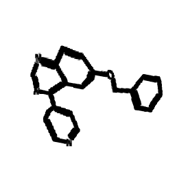 c1ccc(COc2ccc3ncnc(-c4ccncc4)c3c2)cc1